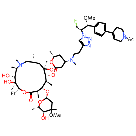 CC[C@H]1OC(=O)[C@H](C)[C@@H](O[C@H]2C[C@@](C)(OC)[C@@H](O)[C@H](C)O2)[C@H](C)[C@@H](O[C@H]2C[C@@H](N(C)CCc3cn([C@H](CF)[C@H](OC)c4ccc(C5=CCN(C(C)=O)CC5)cc4)nn3)C[C@@H](C)O2)[C@](C)(O)C[C@@H](C)CN(C)[C@H](C)[C@@H](O)[C@]1(C)O